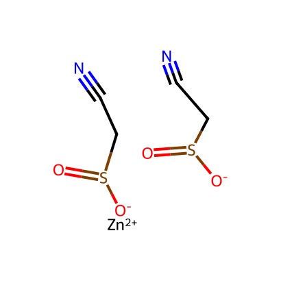 N#CCS(=O)[O-].N#CCS(=O)[O-].[Zn+2]